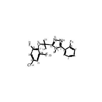 Cn1c(-c2ccccc2F)nnc1C(C)(C)Oc1c(F)cc(Cl)cc1F